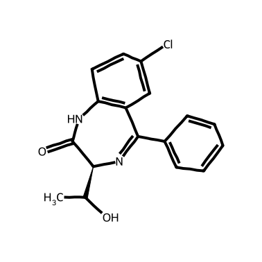 CC(O)[C@@H]1N=C(c2ccccc2)c2cc(Cl)ccc2NC1=O